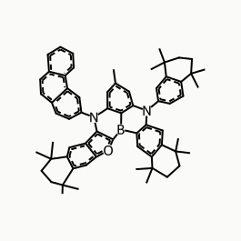 Cc1cc2c3c(c1)N(c1ccc4ccc5ccccc5c4c1)c1c(oc4cc5c(cc14)C(C)(C)CCC5(C)C)B3c1cc3c(cc1N2c1ccc2c(c1)C(C)(C)CCC2(C)C)C(C)(C)CCC3(C)C